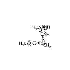 C=C(CN1CC[C@@H](C(=O)Nc2ccc3[nH]nc(C(=O)NC)c3c2)C1)N1CCN(c2ccc(-c3ncc(C)cn3)cc2)CC1